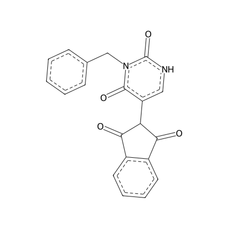 O=C1c2ccccc2C(=O)C1c1c[nH]c(=O)n(Cc2ccccc2)c1=O